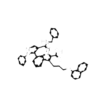 O=C(NCc1ccccc1)c1cnn(-c2ccccc2)c1-c1cccc2c(CCCOc3cccc4ccccc34)c(C(=O)O)[nH]c12